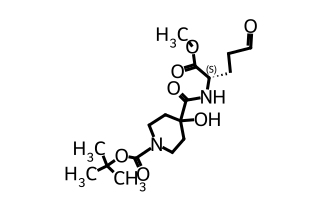 COC(=O)[C@H](CCC=O)NC(=O)C1(O)CCN(C(=O)OC(C)(C)C)CC1